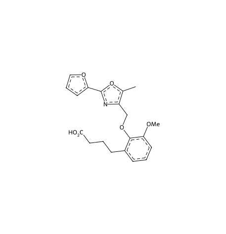 COc1cccc(CCCC(=O)O)c1OCc1nc(-c2ccco2)oc1C